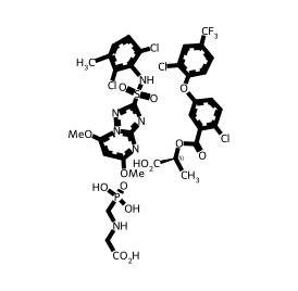 COc1cc(OC)n2nc(S(=O)(=O)Nc3c(Cl)ccc(C)c3Cl)nc2n1.C[C@H](OC(=O)c1cc(Oc2ccc(C(F)(F)F)cc2Cl)ccc1Cl)C(=O)O.O=C(O)CNCP(=O)(O)O